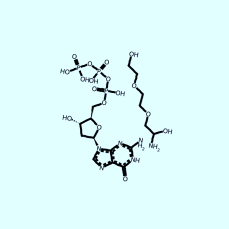 NC(O)COCCOCCO.Nc1nc2c(ncn2[C@H]2C[C@H](O)[C@@H](COP(=O)(O)OP(=O)(O)OP(=O)(O)O)O2)c(=O)[nH]1